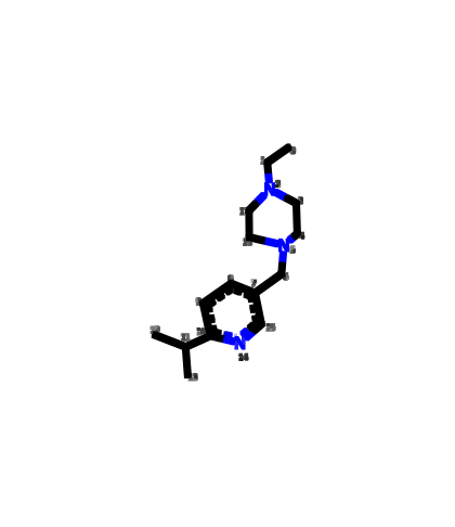 CCN1CCN(Cc2ccc(C(C)C)nc2)CC1